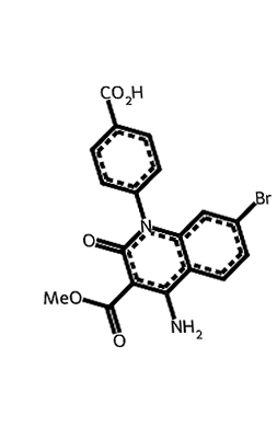 COC(=O)c1c(N)c2ccc(Br)cc2n(-c2ccc(C(=O)O)cc2)c1=O